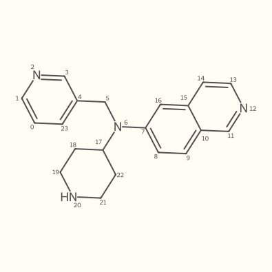 c1cncc(CN(c2ccc3cnccc3c2)C2CCNCC2)c1